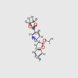 CCOC(=O)C(Cc1ccc(F)cc1)c1ccc(B2OC(C)(C)C(C)(C)O2)cn1